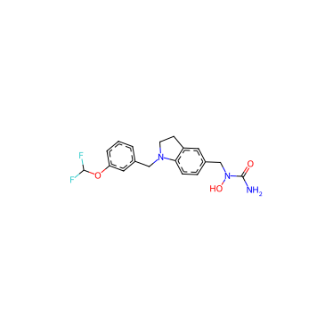 NC(=O)N(O)Cc1ccc2c(c1)CCN2Cc1cccc(OC(F)F)c1